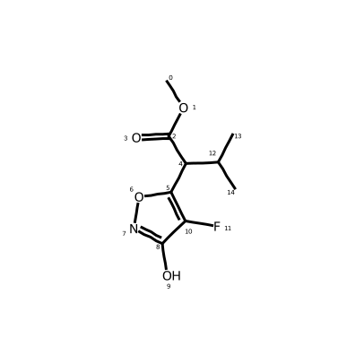 COC(=O)C(c1onc(O)c1F)C(C)C